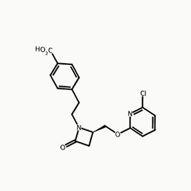 O=C(O)c1ccc(CCN2C(=O)C[C@@H]2COc2cccc(Cl)n2)cc1